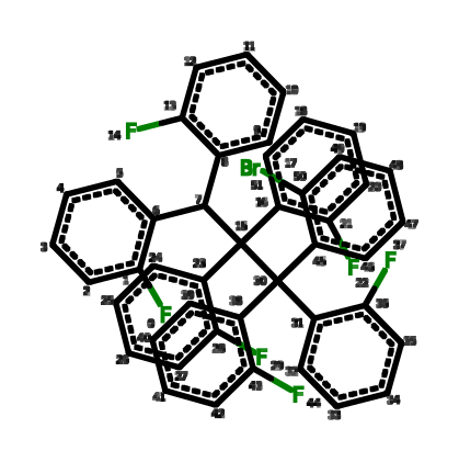 Fc1ccccc1C(c1ccccc1F)C(c1ccccc1F)(c1ccccc1F)C(c1ccccc1F)(c1ccccc1F)c1ccccc1Br